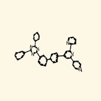 c1ccc(-c2nc(-c3ccccc3)nc(-c3cccc(-c4ccc(-c5cc(-c6ccncc6)nc(-c6ccccn6)c5)cc4)c3)n2)cc1